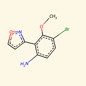 COc1c(Br)ccc(N)c1-c1ccon1